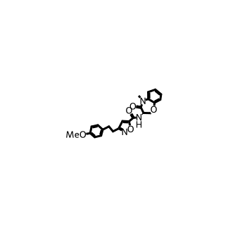 COc1ccc(CCc2cc(C(=O)N[C@H]3COc4ccccc4N(C)C3=O)on2)cc1